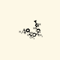 CC(C(=O)Nc1cccc(S(C)(=O)=O)c1)N1CCC(N(C)c2nccc(Nc3cc(C4CC4)[nH]n3)n2)CC1